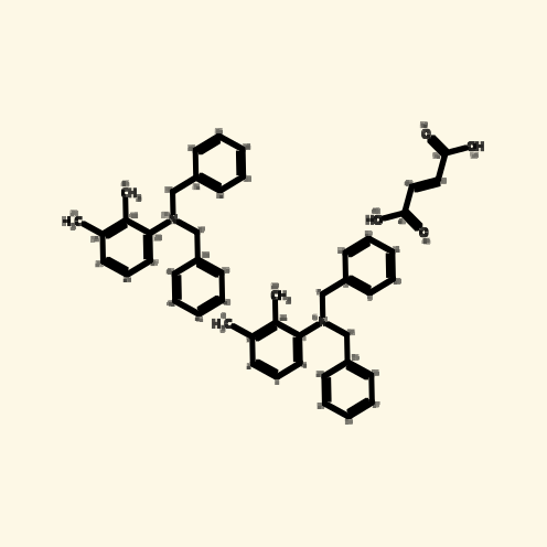 Cc1cccc(N(Cc2ccccc2)Cc2ccccc2)c1C.Cc1cccc(N(Cc2ccccc2)Cc2ccccc2)c1C.O=C(O)/C=C/C(=O)O